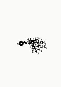 CO[C@H](C)[C@H](NC(=O)[C@H](C)N(C)C(=O)OC(C)(C)C)C(=O)N1CCCC1CNCCc1ccc(F)cc1